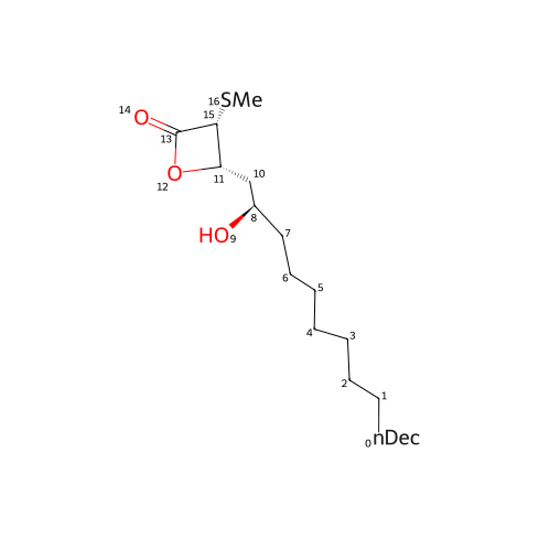 CCCCCCCCCCCCCCCCC[C@@H](O)C[C@@H]1OC(=O)[C@@H]1SC